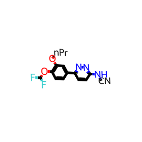 CCCOc1cc(-c2ccc(NC#N)nn2)ccc1OC(F)F